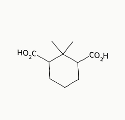 CC1(C)C(C(=O)O)CCCC1C(=O)O